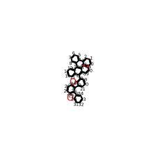 c1ccc(-c2ccccc2-c2c3ccccc3c(-c3cccc4c3oc3ccc5oc6ccccc6c5c34)c3ccccc23)cc1